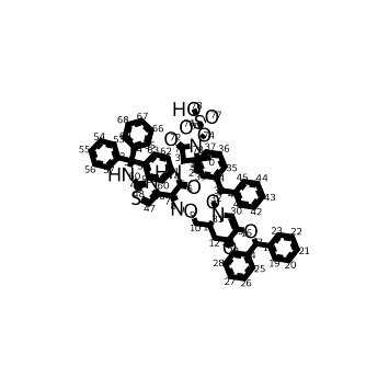 CC1(C)[C@H](NC(=O)/C(=N\OCC2CC(=O)C(OC(c3ccccc3)c3ccccc3)=CN2OC(c2ccccc2)c2ccccc2)c2csc(NC(c3ccccc3)(c3ccccc3)c3ccccc3)n2)C(=O)N1OS(=O)(=O)O